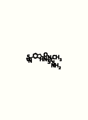 Cc1nc(NC(=O)C2Cc3ccc(-c4nccs4)cc3C2)sc1SN